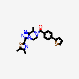 Cc1nc(-c2nnc3n2CCN(C(=O)c2ccc(-c4cccs4)cc2)C3C)sc1C